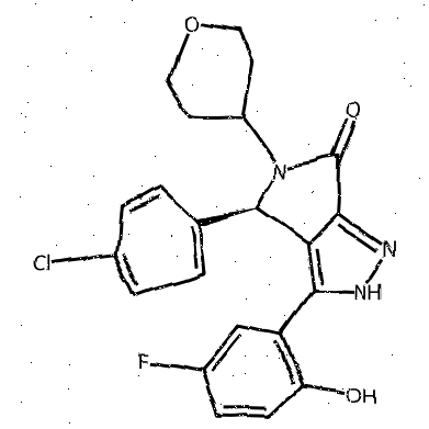 O=C1c2n[nH]c(-c3cc(F)ccc3O)c2[C@@H](c2ccc(Cl)cc2)N1C1CCOCC1